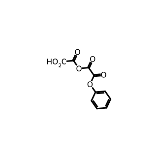 O=C(O)C(=O)OC(=O)C(=O)Oc1ccccc1